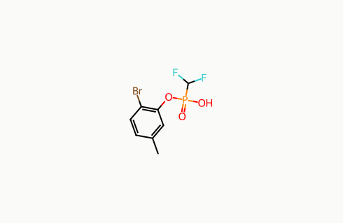 Cc1ccc(Br)c(OP(=O)(O)C(F)F)c1